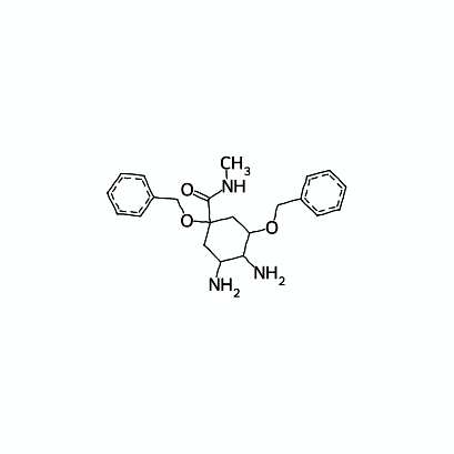 CNC(=O)C1(OCc2ccccc2)CC(N)C(N)C(OCc2ccccc2)C1